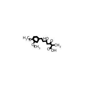 COc1ccc(CCC(O)CC(=O)C(C)C(=O)O)cc1OC